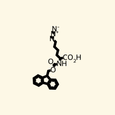 [N-]=[N+]=NCCCCC(NC(=O)OCC1c2ccccc2-c2ccccc21)C(=O)O